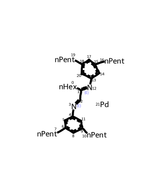 CCCCCCC(/C=N/c1cc(CCCCC)cc(CCCCC)c1)=N\c1cc(CCCCC)cc(CCCCC)c1.[Pd]